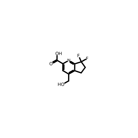 O=C(O)c1cc(CO)c2c(n1)C(F)(F)CC2